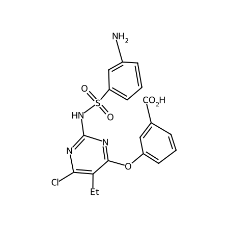 CCc1c(Cl)nc(NS(=O)(=O)c2cccc(N)c2)nc1Oc1cccc(C(=O)O)c1